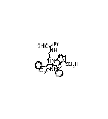 CC(C)C(C=O)NCCC[C@@H](Cc1ccccc1)C(Cc1ccccc1)(NC(=O)O)N[C@H](C(=O)NC(=O)O)C(C)C